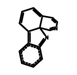 C1=CC2=c3ccccc3=NC23C=NC=CC3=C1